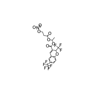 CC(OC(=O)CCO[N+](=O)[O-])OC(=O)C1=Cc2cc(S(F)(F)(F)(F)F)ccc2OC1C(F)(F)F